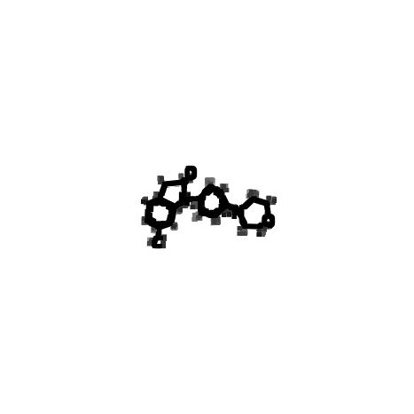 O=C1Cc2ccc(Cl)cc2N1c1ccc(N2CCOCC2)cc1